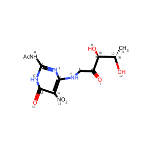 CC(=O)Nc1nc(NCC(=O)[C@@H](O)[C@H](C)O)c([N+](=O)[O-])c(=O)[nH]1